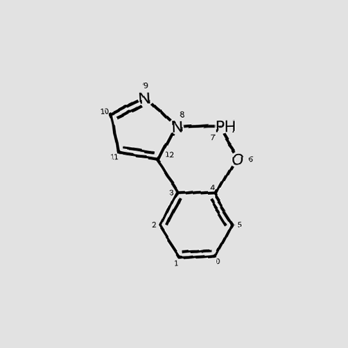 c1ccc2c(c1)OPn1nccc1-2